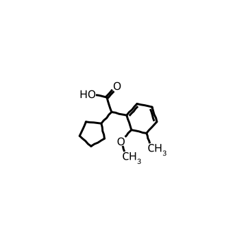 COC1C(C(C(=O)O)C2CCCC2)=CC=CC1C